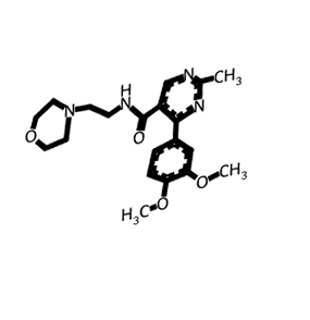 COc1ccc(-c2nc(C)ncc2C(=O)NCCN2CCOCC2)cc1OC